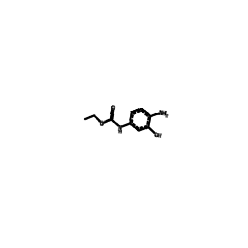 CCOC(=O)Nc1ccc(N)c(O)c1